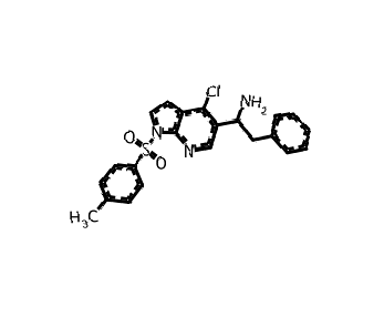 Cc1ccc(S(=O)(=O)n2ccc3c(Cl)c(C(N)Cc4ccccc4)cnc32)cc1